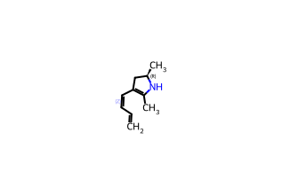 C=C/C=C\C1=C(C)N[C@H](C)C1